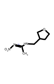 C/C(=N\[N+](=O)[O-])NCC1CCOC1